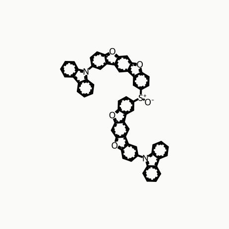 [O-][S+](c1ccc2oc3cc4oc5ccc(-n6c7ccccc7c7ccccc76)cc5c4cc3c2c1)c1ccc2oc3cc4oc5ccc(-n6c7ccccc7c7ccccc76)cc5c4cc3c2c1